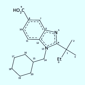 CCC(C)(C)c1nc2cc(C(=O)O)ccc2n1CC1CCCCC1